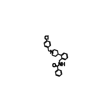 O=C(NCc1ccccc1C1CCN(Cc2ccc(Cl)cc2)CC1)c1ccccc1